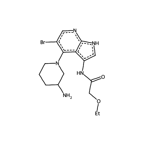 CCOCC(=O)Nc1c[nH]c2ncc(Br)c(N3CCCC(N)C3)c12